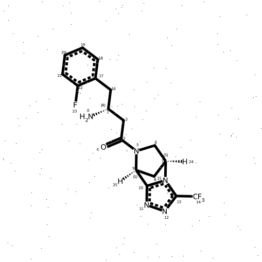 N[C@@H](CC(=O)N1C[C@@H]2C[C@H]1c1nnc(C(F)(F)F)n12)Cc1ccccc1F